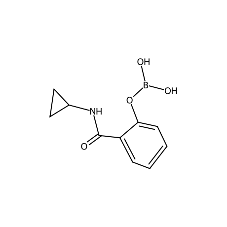 O=C(NC1CC1)c1ccccc1OB(O)O